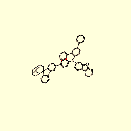 c1ccc(-c2ccc(N(c3ccc(-c4ccc5c(c4)-c4ccccc4C54C5CC6CC(C5)CC4C6)cc3)c3ccc4c(c3)oc3ccccc34)c(-c3ccccc3)c2)cc1